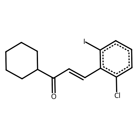 O=C(C=Cc1c(Cl)cccc1I)C1CCCCC1